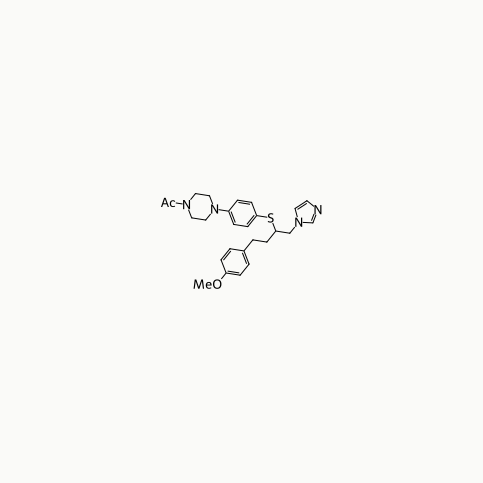 COc1ccc(CCC(Cn2ccnc2)Sc2ccc(N3CCN(C(C)=O)CC3)cc2)cc1